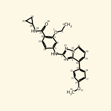 CCOc1cc(Nc2nc3c(-c4ccc(OC)cc4)cccn3n2)ccc1C(=O)NC1CC1